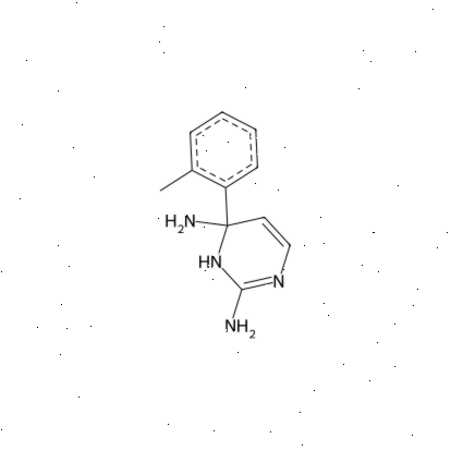 Cc1ccccc1C1(N)C=CN=C(N)N1